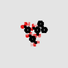 O=C(O)c1ccc(OC(=O)c2ccc(C(=O)O)cc2)cc1.O=C(O)c1cccc(C(=O)O)c1.c1ccc(-c2ccccc2)cc1